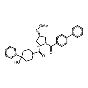 CON=C1C[C@@H](C(=O)N2CCC(O)(c3ccccc3)CC2)N(C(=O)c2ccc(-c3ccccc3)cc2)C1